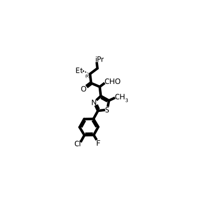 CC[C@H](CC(C)C)C(=O)C(C=O)c1nc(-c2ccc(Cl)c(F)c2)sc1C